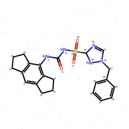 O=C(Nc1c2c(cc3c1CCC3)CCC2)NS(=O)(=O)C1N=CN(Cc2ccccc2)N1